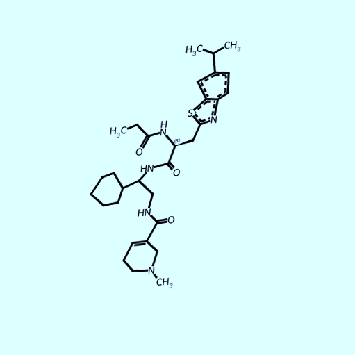 CCC(=O)N[C@@H](Cc1nc2ccc(C(C)C)cc2s1)C(=O)NC(CNC(=O)C1=CCCN(C)C1)C1CCCCC1